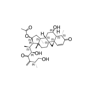 C=C(C(=O)[C@H](O)[C@@H](C)[C@H]1[C@@H](OC(C)=O)C[C@@]2(C)[C@@H]3C[C@@H](O)[C@H]4[C@H](C)C(=O)C=C[C@@]45C[C@@]35CC[C@]12C)[C@@H](C)CO